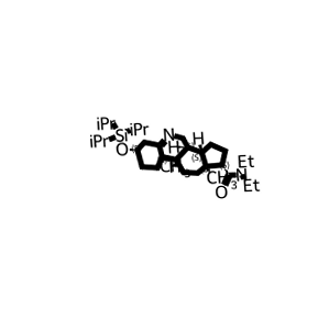 CCN(CC)C(=O)[C@H]1CC[C@H]2[C@@H]3CN=C4C[C@@H](O[Si](C(C)C)(C(C)C)C(C)C)CC[C@]4(C)[C@H]3CC[C@]12C